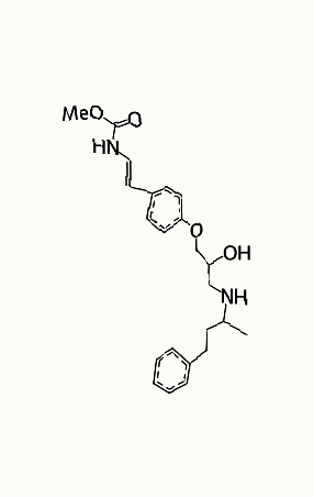 COC(=O)NC=Cc1ccc(OCC(O)CNC(C)CCc2ccccc2)cc1